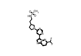 CS(=O)(=O)NCCC1CCN(c2cc(-c3cnc4ccc(C(F)F)nn34)ncn2)C1